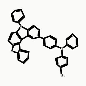 CC(C)(C)c1ccc(N(c2ccccc2)c2ccc(-c3ccc4c(c3)c3c5c(ccc3n4-c3ccccc3)oc3ccccc35)cc2)cc1